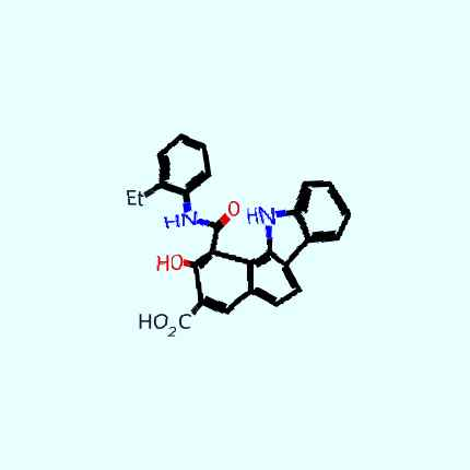 CCc1ccccc1NC(=O)c1c(O)c(C(=O)O)cc2ccc3c4ccccc4[nH]c3c12